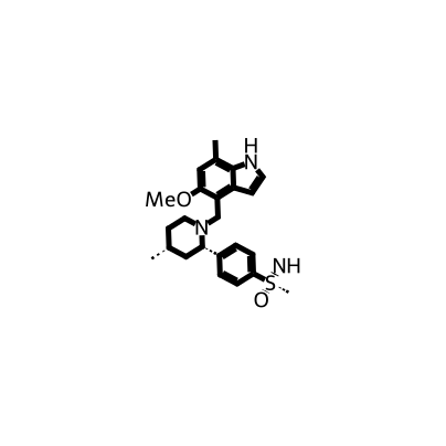 COc1cc(C)c2[nH]ccc2c1CN1CC[C@@H](C)C[C@H]1c1ccc([S@@](C)(=N)=O)cc1